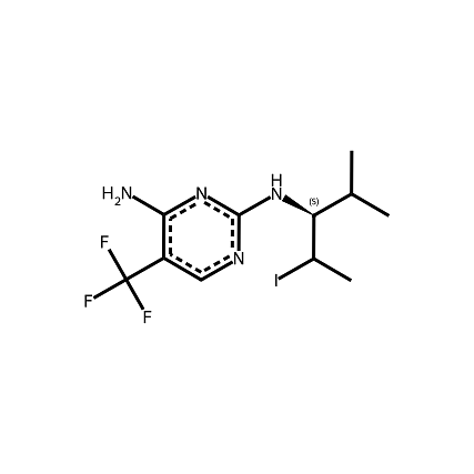 CC(C)[C@H](Nc1ncc(C(F)(F)F)c(N)n1)C(C)I